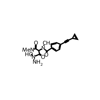 CNC(=O)C(C(=O)N(N)O)N(C)C(=O)c1ccc(C#CC2C=C2)cc1